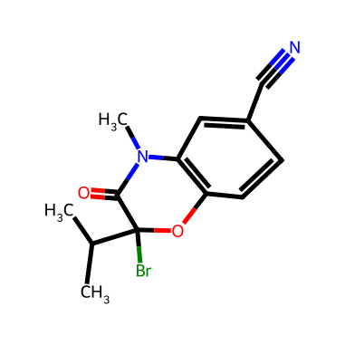 CC(C)C1(Br)Oc2ccc(C#N)cc2N(C)C1=O